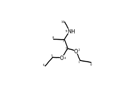 CCOC(OCC)C(C)NC